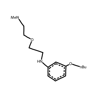 CCCCOc1cccc(NCCOCCNC)c1